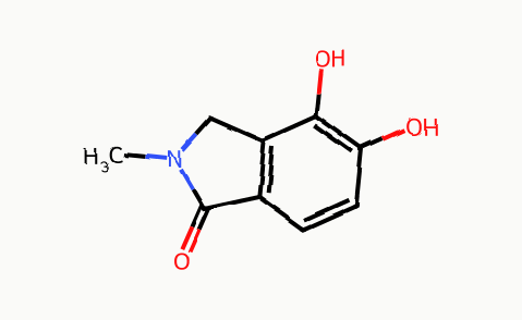 CN1Cc2c(ccc(O)c2O)C1=O